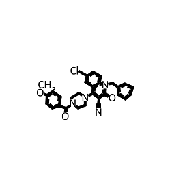 COc1ccc(C(=O)N2CCN(c3c(C#N)c(=O)n(Cc4ccccc4)c4ccc(Cl)cc34)CC2)cc1